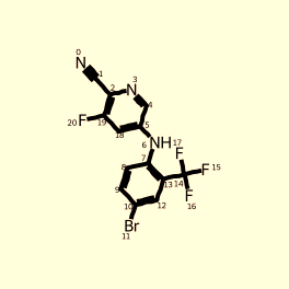 N#Cc1ncc(Nc2ccc(Br)cc2C(F)(F)F)cc1F